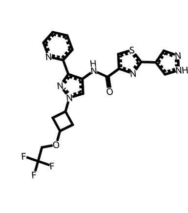 O=C(Nc1cn(C2CC(OCC(F)(F)F)C2)nc1-c1ccccn1)c1csc(-c2cn[nH]c2)n1